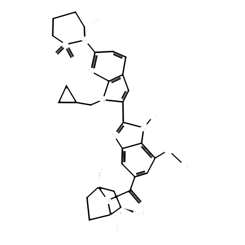 COc1cc(C(=O)N2[C@H]3CC[C@@H]2[C@H](N)C3)cc2nc(-c3cc4ccc(N5[C@@H](C)CCCS5(=O)=O)nc4n3CC3CC3)n(C)c12